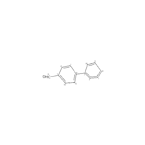 O=Cc1ccc(C2=C=C=CC=C2)cc1